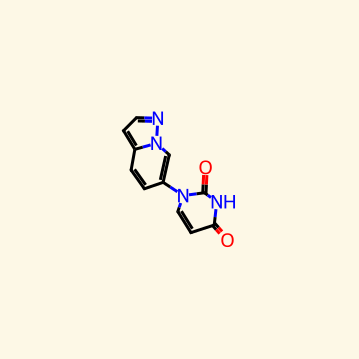 O=c1ccn(-c2ccc3ccnn3c2)c(=O)[nH]1